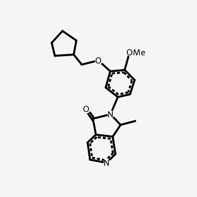 COc1ccc(N2C(=O)c3ccncc3C2C)cc1OCC1CCCC1